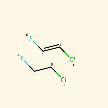 FC=CCl.FCCCl